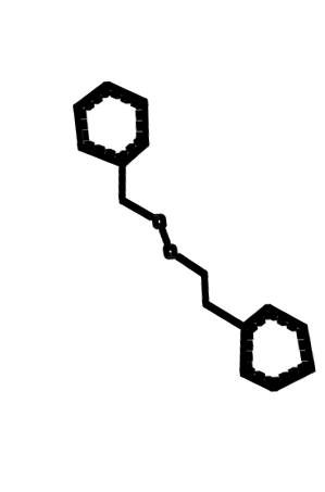 c1ccc(CCOOCc2ccccc2)cc1